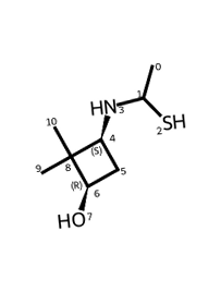 CC(S)N[C@H]1C[C@@H](O)C1(C)C